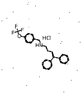 Cl.FC(F)(F)Oc1ccc(CNCCC=C(c2ccccc2)c2ccccc2)cc1